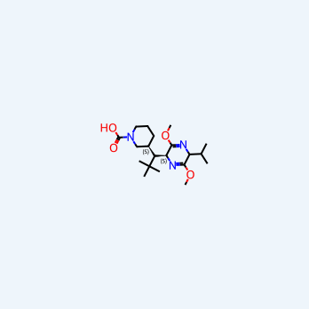 COC1=N[C@@H](C([C@@H]2CCCN(C(=O)O)C2)C(C)(C)C)C(OC)=NC1C(C)C